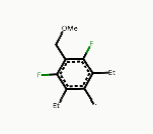 [CH2]c1c(CC)c(F)c(COC)c(F)c1CC